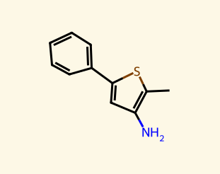 Cc1sc(-c2ccccc2)cc1N